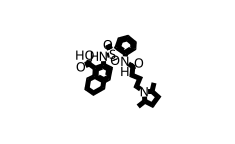 CC1CCC(C)N1CCCC(=O)Nc1ccccc1S(=O)(=O)Nc1ccc2c(c1C(=O)O)CCCC2